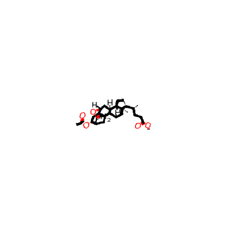 B[C@]12C[C@@H](OC(C)=O)CC[C@]13C1CC[C@]4(C)[C@@H]([C@H](C)CCC(=O)OC)CC[C@H]4[C@@H]1C[C@H]2O[C@@H]3C